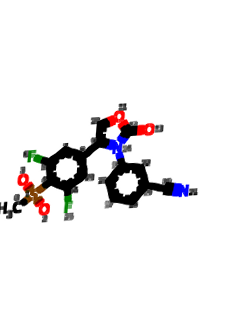 CS(=O)(=O)c1c(F)cc(-c2coc(=O)n2-c2cccc(C#N)c2)cc1F